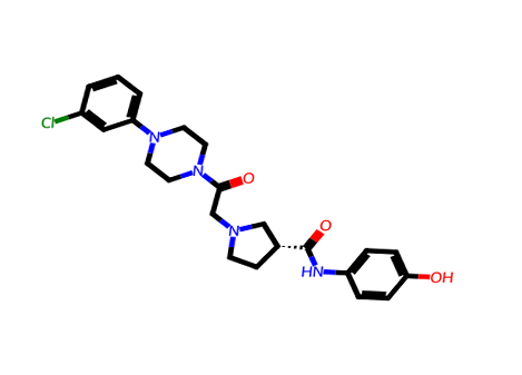 O=C(Nc1ccc(O)cc1)[C@@H]1CCN(CC(=O)N2CCN(c3cccc(Cl)c3)CC2)C1